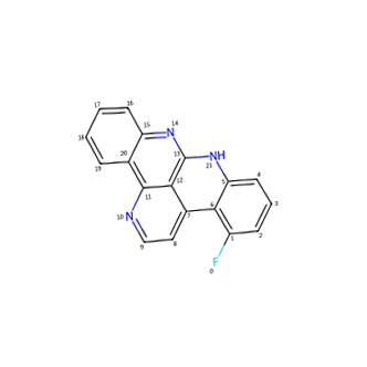 Fc1cccc2c1-c1ccnc3c1c(nc1ccccc13)N2